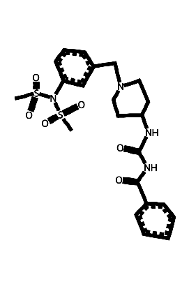 CS(=O)(=O)N(c1cccc(CN2CCC(NC(=O)NC(=O)c3ccccc3)CC2)c1)S(C)(=O)=O